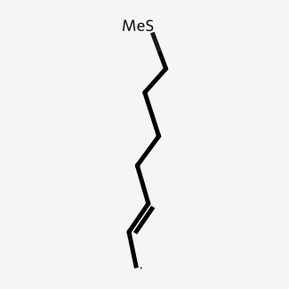 [CH2]C=CCCCCSC